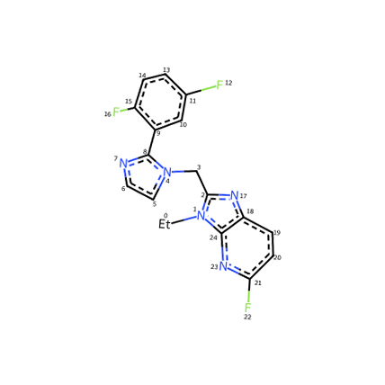 CCn1c(Cn2ccnc2-c2cc(F)ccc2F)nc2ccc(F)nc21